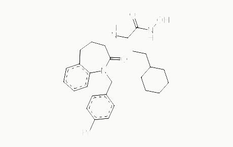 CC(C)c1ccc(CN2C(=O)[C@@H](N[C@@H](CCC3CCCCC3)C(=O)NO)CCc3ccccc32)cc1